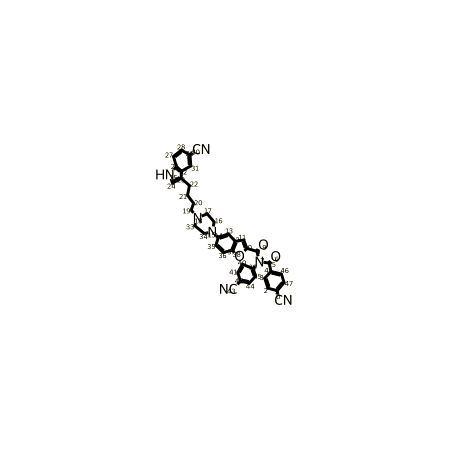 N#Cc1ccc(C(=O)N(C(=O)c2cc3cc(N4CCN(CCCCc5c[nH]c6ccc(C#N)cc56)CC4)ccc3o2)c2ccc(C#N)cc2)cc1